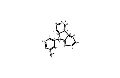 Brc1cncc(-n2c3ccccc3c3cnccc32)c1